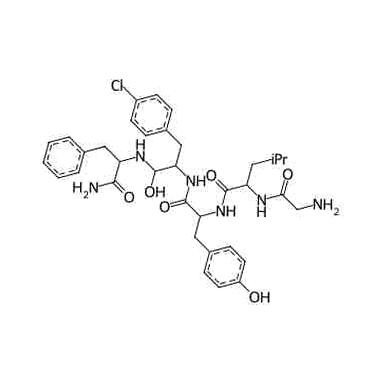 CC(C)CC(NC(=O)CN)C(=O)NC(Cc1ccc(O)cc1)C(=O)NC(Cc1ccc(Cl)cc1)C(O)NC(Cc1ccccc1)C(N)=O